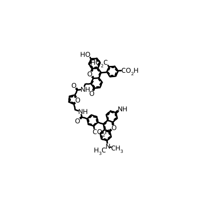 CN(C)c1ccc2c(-c3ccc(C(=O)NCc4ccc(C(=O)NCc5c6oc7cc(O)ccc7c(-c7ccc(C(=O)O)cc7C(=O)O)c-6ccc5=O)o4)cc3C(=O)O)c3ccc(=N)cc-3oc2c1